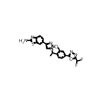 CC(c1ccc(-c2nnc(C(F)F)o2)cc1Cl)n1cc(-c2ccc3nc(N)sc3c2)nn1